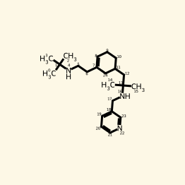 CC(C)(C)NCCC1=CCCC(CC(C)(C)NCc2cccnc2)C1